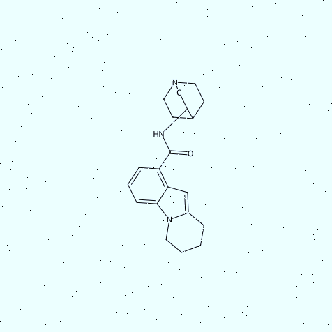 O=C(NC1CN2CCC1CC2)c1cccc2c1cc1n2CCCC1